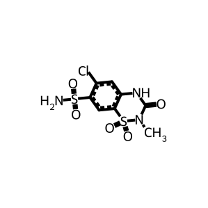 CN1C(=O)Nc2cc(Cl)c(S(N)(=O)=O)cc2S1(=O)=O